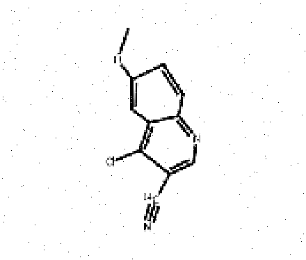 COc1ccc2ncc([14C]#N)c(Cl)c2c1